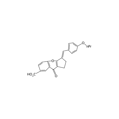 CCCOc1ccc(C=C2CCc3c2oc2ccc(C(=O)O)cc2c3=O)cc1